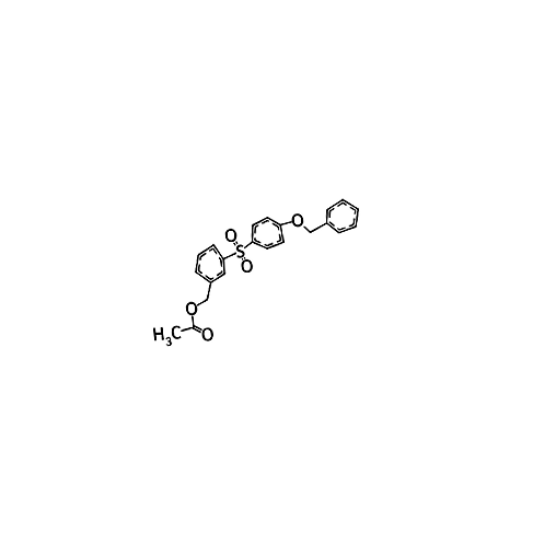 CC(=O)OCc1cccc(S(=O)(=O)c2ccc(OCc3ccccc3)cc2)c1